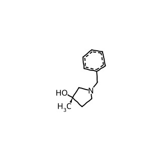 C[C@]1(O)CCN(Cc2ccccc2)C1